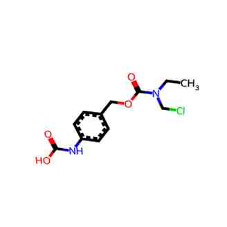 CCN(CCl)C(=O)OCc1ccc(NC(=O)O)cc1